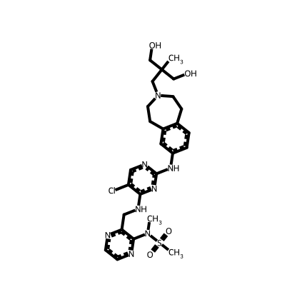 CN(c1nccnc1CNc1nc(Nc2ccc3c(c2)CCN(CC(C)(CO)CO)CC3)ncc1Cl)S(C)(=O)=O